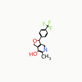 Cc1ncc2c(c1O)COC2c1ccc(C(F)(F)F)cc1